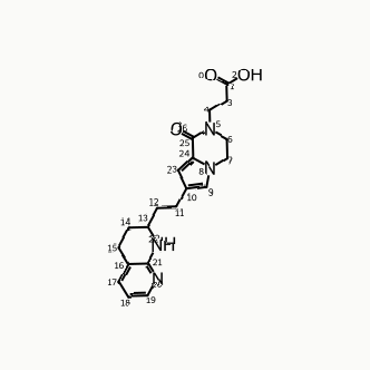 O=C(O)CCN1CCn2cc(CCC3CCc4cccnc4N3)cc2C1=O